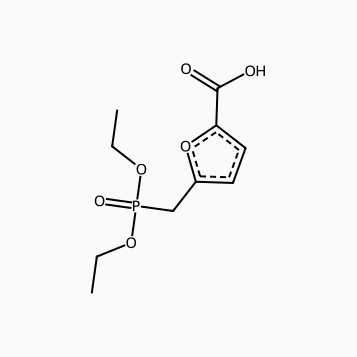 CCOP(=O)(Cc1ccc(C(=O)O)o1)OCC